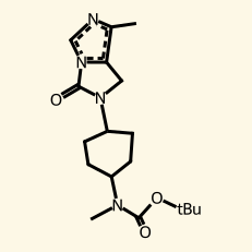 Cc1ncn2c1CN(C1CCC(N(C)C(=O)OC(C)(C)C)CC1)C2=O